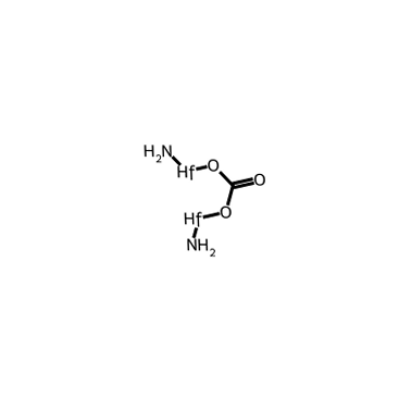 [NH2][Hf][O]C(=O)[O][Hf][NH2]